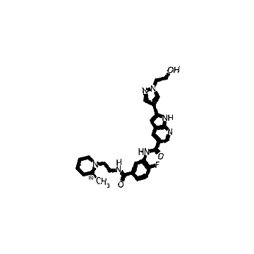 C[C@H]1CCCCN1CCNC(=O)c1ccc(F)c(NC(=O)c2cnc3[nH]c(-c4cnn(CCO)c4)cc3c2)c1